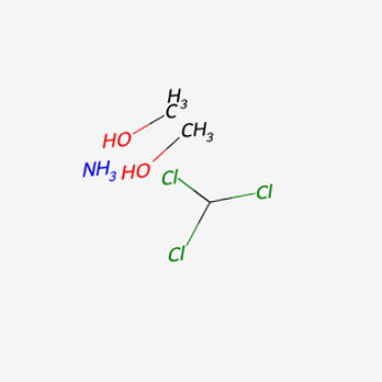 CO.CO.ClC(Cl)Cl.N